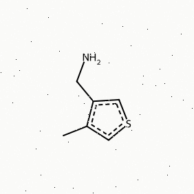 Cc1cscc1CN